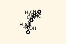 Cc1nn(C2=CCCC=C2)c(O)c1/N=N/c1ccc(/N=N/c2c(C)nn(-c3ccccc3)c2N=O)c(Cl)c1